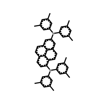 Cc1cc(C)cc(N(c2cc(C)cc(C)c2)c2cc3ccc4ccc(N(c5cc(C)cc(C)c5)c5cc(C)cc(C)c5)c5ccc(c2)c3c45)c1